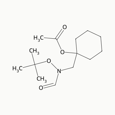 CC(=O)OC1(CN(C=O)OC(C)(C)C)CCCCC1